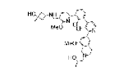 COc1cc(-c2nccc(-c3cccc(-c4ccc(CN[C@H]5C[C@@](C)(O)C5)c(OC)n4)c3Cl)c2Cl)cc2c1CN(C[C@@H](C)O)CC2